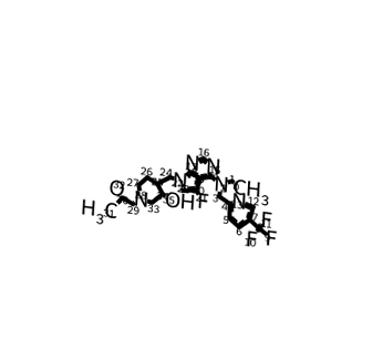 CCN(Cc1ccc(C(F)(F)F)cn1)c1ncnc2c1c(F)cn2CC1CCN(CC(C)=O)CC1O